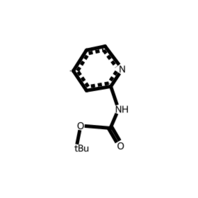 CC(C)(C)OC(=O)Nc1c[c]ccn1